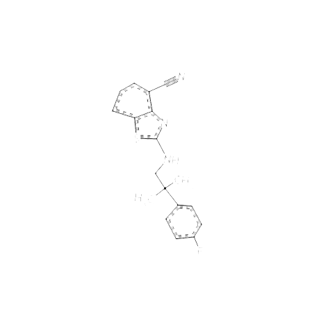 CC(C)(CNc1nc2c(C#N)cccc2s1)c1ccc(F)cc1